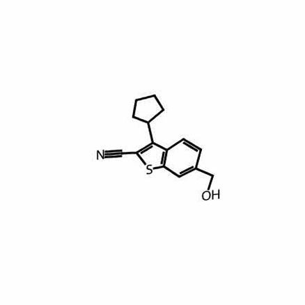 N#Cc1sc2cc(CO)ccc2c1C1CCCC1